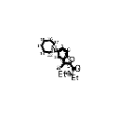 CCN(CC)C(=O)c1oc2ccc(N3CCCCCC3)cc2c1C